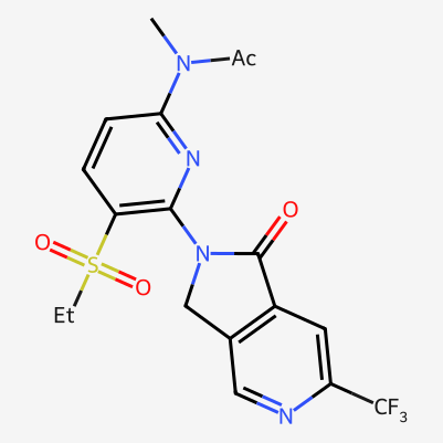 CCS(=O)(=O)c1ccc(N(C)C(C)=O)nc1N1Cc2cnc(C(F)(F)F)cc2C1=O